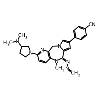 C=N/N=C1/c2cc(-c3ccc(C#N)cc3)cn2Cc2nc(N3CC[C@@H](N(C)C)C3)ccc2N1C